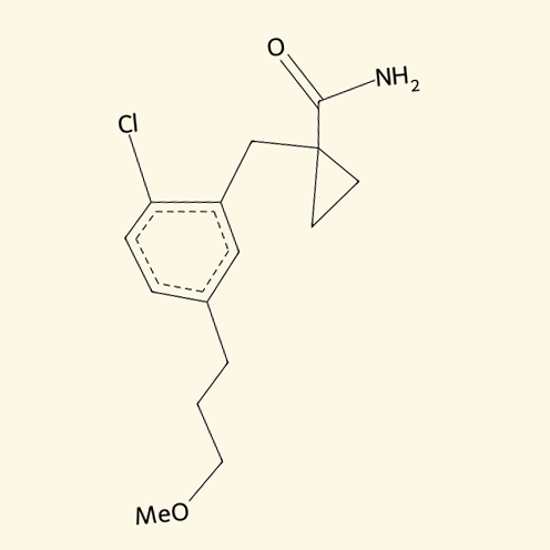 COCCCc1ccc(Cl)c(CC2(C(N)=O)CC2)c1